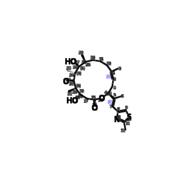 C/C1=C/C[C@@H](/C(C)=C/c2csc(C)n2)OC(=O)C[C@H](O)[C@@H](C)C(=O)[C@H](C)[C@@H](O)[C@@H](C)CCC1